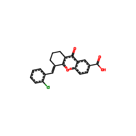 O=C(O)c1ccc2oc3c(c(=O)c2c1)CCCC3=Cc1ccccc1Cl